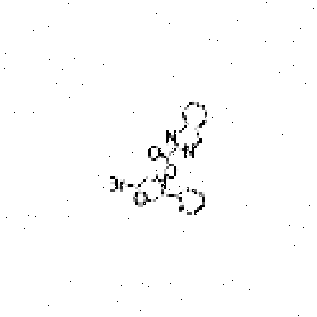 O=C(ON1CC(Br)OCC1c1ccccc1)c1ncc2ccccc2n1